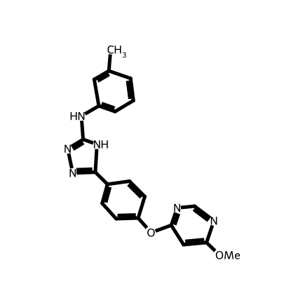 COc1cc(Oc2ccc(-c3nnc(Nc4cccc(C)c4)[nH]3)cc2)ncn1